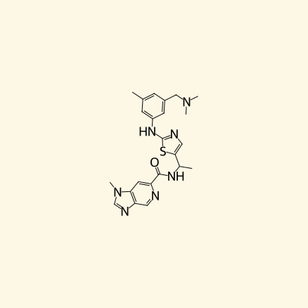 Cc1cc(CN(C)C)cc(Nc2ncc(C(C)NC(=O)c3cc4c(cn3)ncn4C)s2)c1